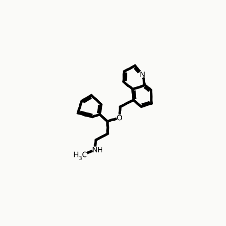 CNCCC(OCc1cccc2ncccc12)c1ccccc1